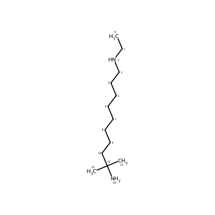 CCNCCCCCCCCC(C)(C)N